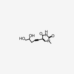 Cn1cc(C#CCC(O)CO)c(=O)[nH]c1=O